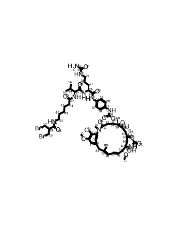 COc1cc2cc(c1Cl)N(C)C(=O)C[C@H](OC(=O)Nc1ccc(NC(=O)[C@H](CCCNC(N)=O)NC(=O)[C@@H](NC(=O)CCCCCNC(=O)C(CBr)CBr)C(C)C)cc1)[C@]1(C)O[C@H]1[C@H](C)[C@@H]1C[C@@](O)(NC(=O)O1)[C@H](OC)/C=C/C=C(\C)C2